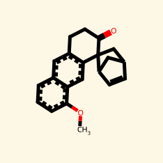 COc1cccc2cc3c(cc12)C1(CC2C=CC1C2)C(=O)CC3